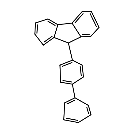 c1ccc(-c2ccc(C3c4ccccc4-c4ccccc43)cc2)cc1